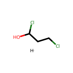 OC(Cl)CCCl.[H]